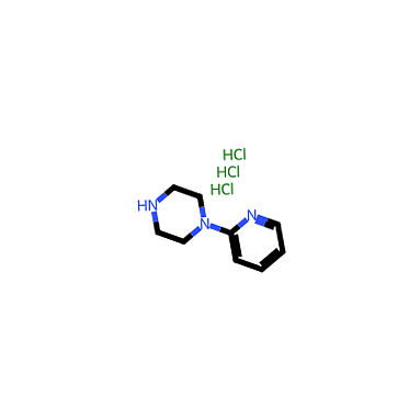 Cl.Cl.Cl.c1ccc(N2CCNCC2)nc1